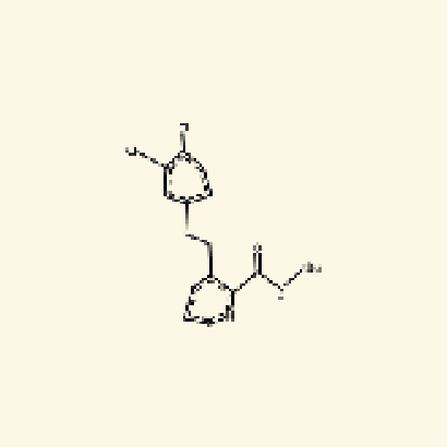 CC(C)(C)NC(=O)c1ncccc1CCc1ccc(Cl)c(Cl)c1